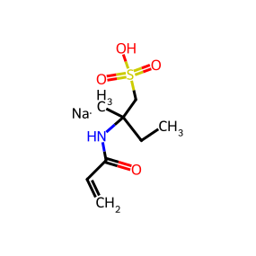 C=CC(=O)NC(C)(CC)CS(=O)(=O)O.[Na]